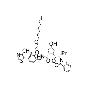 Cc1ncsc1-c1ccc(CNC(=O)[C@@H]2C[C@@H](O)CC2C(=O)[C@H](C(C)C)N2Cc3ccccc3C2=O)c(OCCOCCCCCCI)c1